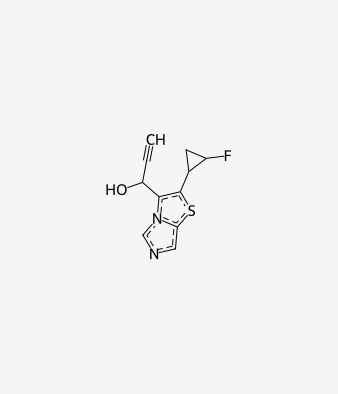 C#CC(O)c1c(C2CC2F)sc2cncn12